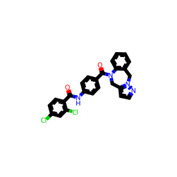 O=C(Nc1ccc(C(=O)N2Cc3ccnn3Cc3ccccc32)cc1)c1ccc(Cl)cc1Cl